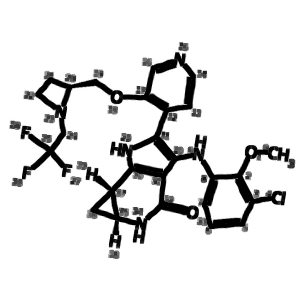 COc1c(Cl)cccc1Nc1c(-c2ccncc2OC[C@@H]2CCN2CC(F)(F)F)[nH]c2c1C(=O)N[C@@H]1C[C@H]21